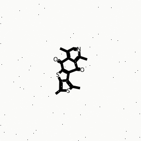 Cc1cnc(C)c2c1C(=O)c1sc3c(C)sc(C)c3c1C2=O